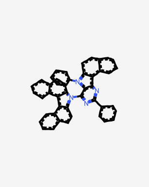 c1ccc(-c2nc(-n3c4ccc5ccccc5c4c4c5ccccc5ccc43)c3c(n2)c2c4ccccc4ccc2n3-c2ccccc2)cc1